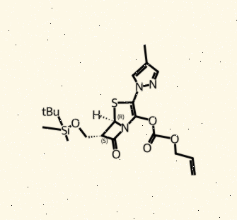 C=CCOC(=O)OC1=C(n2cc(C)cn2)S[C@@H]2[C@@H](CO[Si](C)(C)C(C)(C)C)C(=O)N12